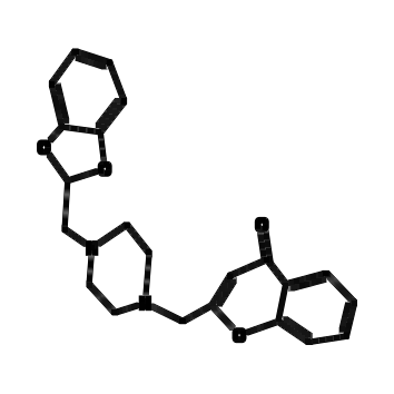 O=c1cc(CN2CCN(CC3Oc4ccccc4O3)CC2)oc2ccccc12